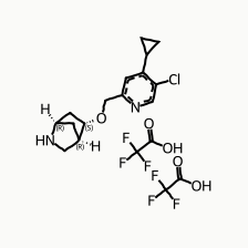 Clc1cnc(CO[C@H]2C[C@H]3C[C@@H]2CN3)cc1C1CC1.O=C(O)C(F)(F)F.O=C(O)C(F)(F)F